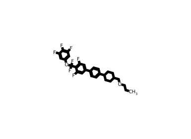 CCCOCC1CCC(c2ccc(-c3cc(F)c(C(F)(F)Oc4cc(F)c(F)c(F)c4)c(F)c3)cc2)CC1